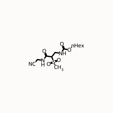 CCCCCCOC(=O)NCC(C(=O)NCC#N)S(C)(=O)=O